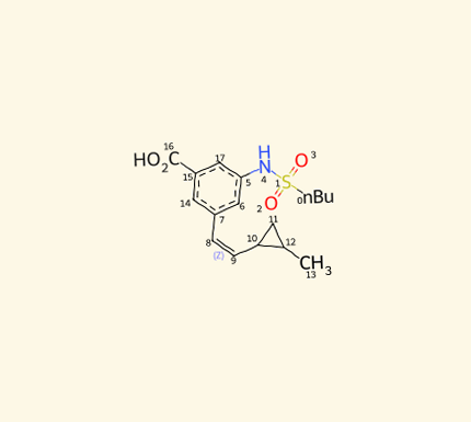 CCCCS(=O)(=O)Nc1cc(/C=C\C2CC2C)cc(C(=O)O)c1